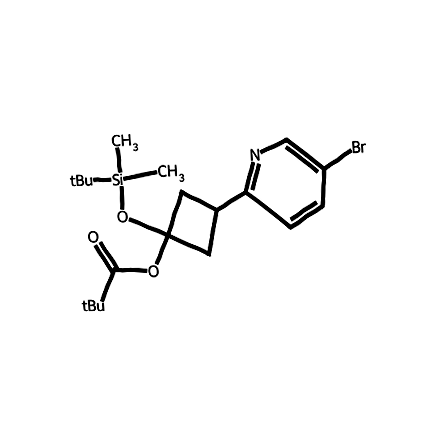 CC(C)(C)C(=O)OC1(O[Si](C)(C)C(C)(C)C)CC(c2ccc(Br)cn2)C1